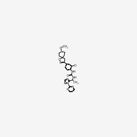 CON1CCC2(CC1)CC(c1ccc(NC(=O)NC(C)c3ncnn3-c3ncccn3)c(Cl)c1)=NO2